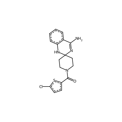 NC1=NC2(CCN(C(=O)c3ccc(Cl)s3)CC2)Nc2ccccc21